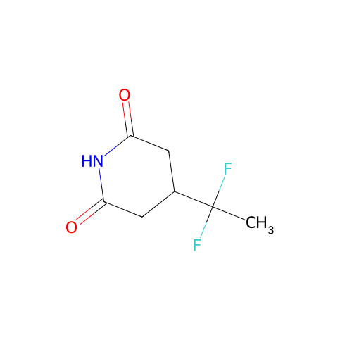 CC(F)(F)C1CC(=O)NC(=O)C1